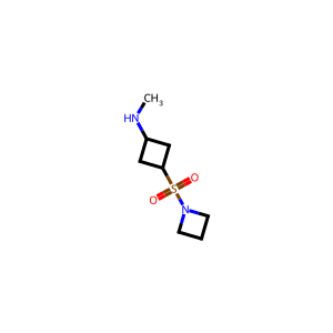 CNC1CC(S(=O)(=O)N2CCC2)C1